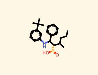 CCCC(C)C(C(Nc1cccc(C(C)(C)C)c1)c1ccccc1)[PH](=O)O